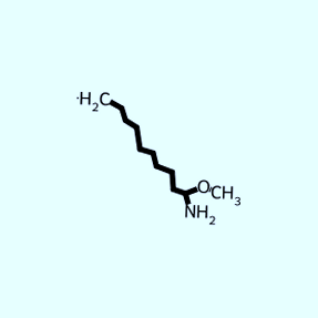 [CH2]CCCCCCCCC(N)OC